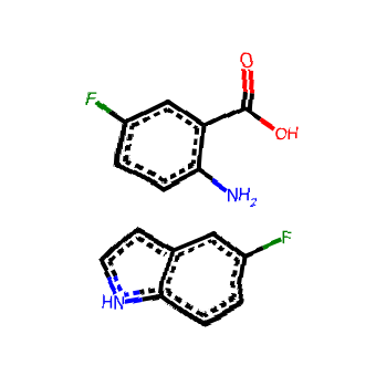 Fc1ccc2[nH]ccc2c1.Nc1ccc(F)cc1C(=O)O